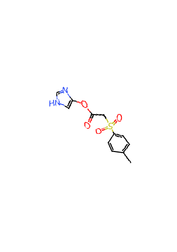 Cc1ccc(S(=O)(=O)CC(=O)Oc2c[nH]cn2)cc1